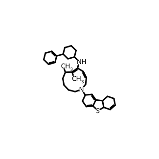 C/C1=C(NC2CCCC(C3=CCCC=C3)C2)\C=C/CN(C2C=C3C(=CC2)SC2C=CCCC32)CCCCC1C